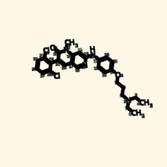 CCN(CC)CCCOc1ccc(Nc2cc3c(cn2)cc(-c2c(Cl)cccc2Cl)c(=O)n3C)cc1